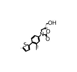 O=C1O[C@@H](CO)CN1c1ccc(-c2cc[c]s2)c(F)c1